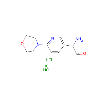 Cl.Cl.Cl.NC(C=O)c1ccc(N2CCOCC2)nc1